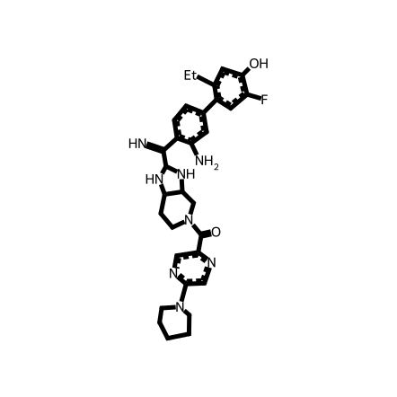 CCc1cc(O)c(F)cc1-c1ccc(C(=N)C2NC3CCN(C(=O)c4cnc(N5CCCCC5)cn4)CC3N2)c(N)c1